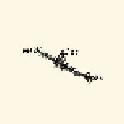 CCCCCCCCCCCCOc1cccc2c1Cc1c(OCCCCCCCCCCCC(=O)OC)cccc1C2c1cccc(OCCCCCCCCCCCC(=O)OC)c1